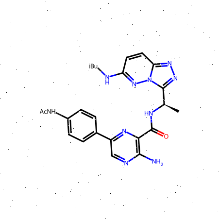 CCC(C)Nc1ccc2nnc([C@@H](C)NC(=O)c3nc(-c4ccc(NC(C)=O)cc4)cnc3N)n2n1